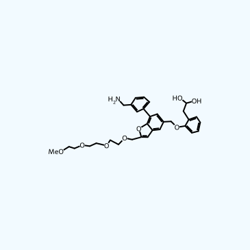 COCCOCCOCCOCc1cc2cc(COc3ccccc3CC(O)O)cc(-c3cccc(CN)c3)c2o1